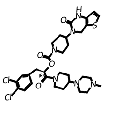 CN1CCN(C2CCN(C(=O)[C@@H](Cc3ccc(Cl)c(Cl)c3)OC(=O)N3CCC(N4Cc5sccc5NC4=O)CC3)CC2)CC1